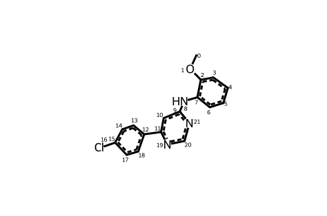 COc1ccccc1Nc1cc(-c2ccc(Cl)cc2)ncn1